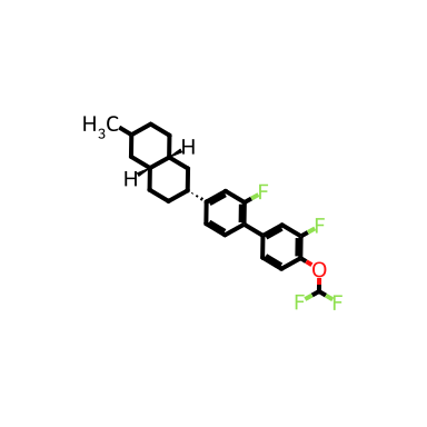 CC1CC[C@@H]2C[C@H](c3ccc(-c4ccc(OC(F)F)c(F)c4)c(F)c3)CC[C@@H]2C1